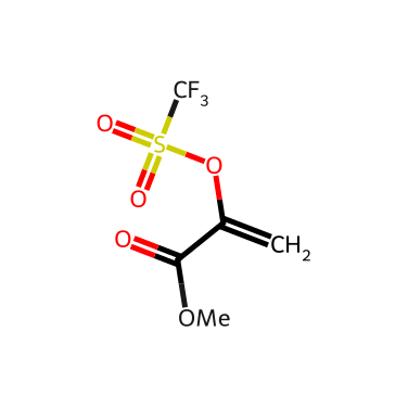 C=C(OS(=O)(=O)C(F)(F)F)C(=O)OC